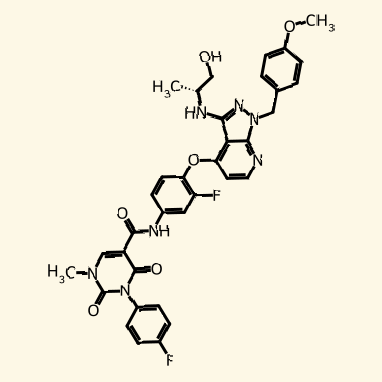 COc1ccc(Cn2nc(N[C@H](C)CO)c3c(Oc4ccc(NC(=O)c5cn(C)c(=O)n(-c6ccc(F)cc6)c5=O)cc4F)ccnc32)cc1